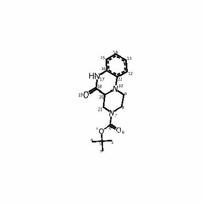 CC(C)(C)OC(=O)N1CCN2c3ccccc3NC(=O)C2C1